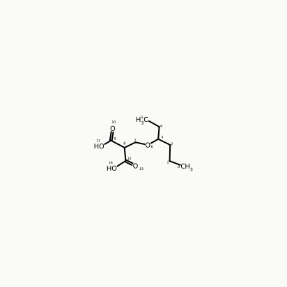 CCCC(CC)OCC(C(=O)O)C(=O)O